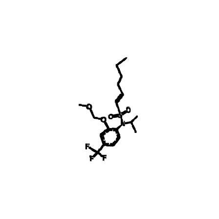 CCCCC=CS(=O)(=O)N(c1ccc(C(F)(F)F)cc1OCOC)C(C)C